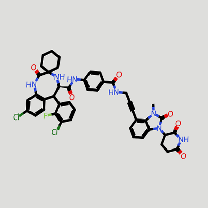 Cn1c(=O)n(C2CCC(=O)NC2=O)c2cccc(C#CCNC(=O)c3ccc(NC(=O)[C@@H]4NC5(CCCCC5)C(=O)Nc5cc(Cl)ccc5C4c4cccc(Cl)c4F)cc3)c21